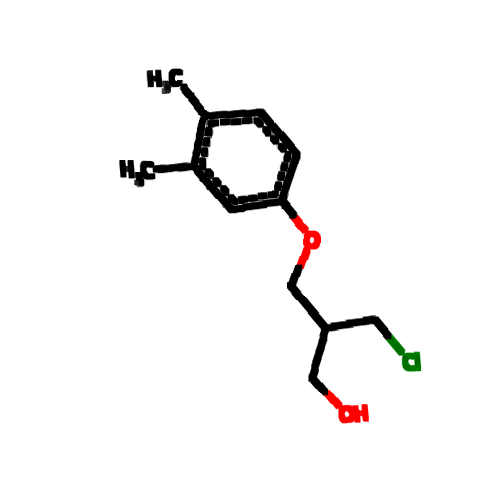 Cc1ccc(OCC(CO)CCl)cc1C